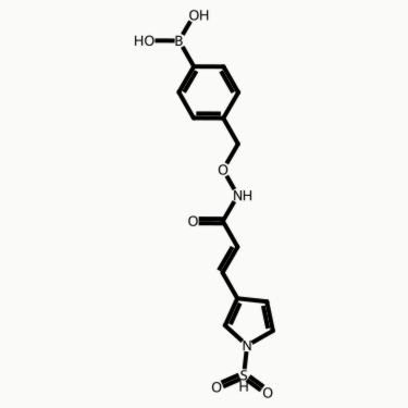 O=C(/C=C/c1ccn([SH](=O)=O)c1)NOCc1ccc(B(O)O)cc1